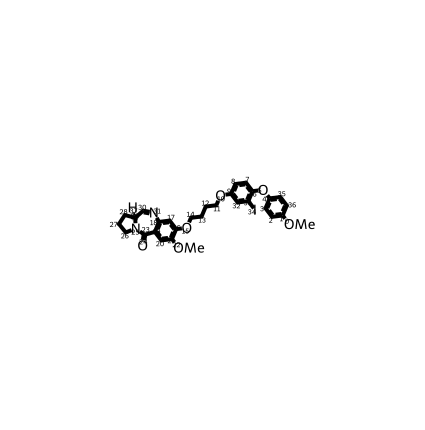 COc1ccc(Oc2ccc(OCCCCOc3cc4c(cc3OC)C(=O)N3CCC[C@H]3C=N4)cc2I)cc1